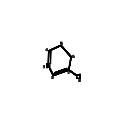 ClC1=CN=CCC1